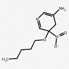 CCCCCOC1([N+](=O)[O-])C=NC=C(N)C1